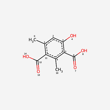 Cc1cc(O)c(C(=O)O)c(C)c1C(=O)O